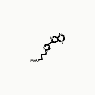 COCCCn1cc(-c2cc3nccnc3cn2)cn1